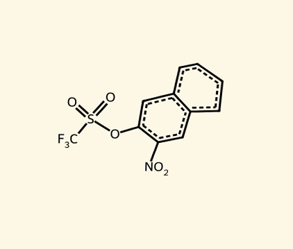 O=[N+]([O-])c1cc2ccccc2cc1OS(=O)(=O)C(F)(F)F